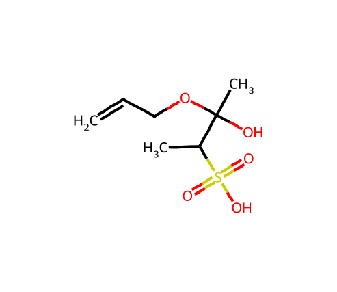 C=CCOC(C)(O)C(C)S(=O)(=O)O